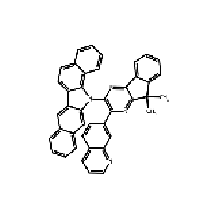 CC1(C)c2ccccc2-c2nc(-n3c4cc5ccccc5cc4c4ccc5ccccc5c43)c(-c3ccc4cccnc4c3)nc21